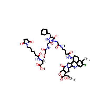 CC[C@@]1(O)C(=O)OCc2c1cc1n(c2=O)Cc2c-1nc1cc(F)c(C)c3c1c2[C@@H](NC(=O)CCCNC(=O)CNC(=O)[C@H](Cc1ccccc1)NC(=O)CNC(=O)COC[C@H](CC(=O)O)NC(=O)CCCCCN1C(=O)C=CC1=O)CC3